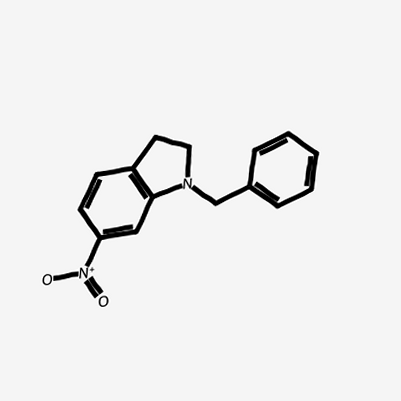 O=[N+]([O-])c1ccc2c(c1)N(Cc1ccccc1)CC2